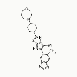 Cc1cc2ncnn2cc1-c1[nH]c2sc(C3CCC(N4CCCOCC4)CC3)nc2c1C(C)C